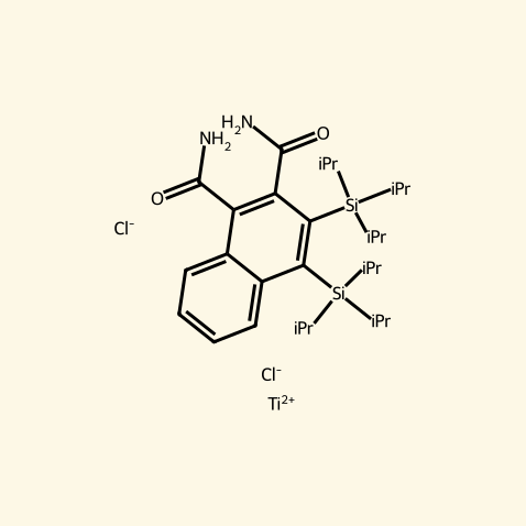 CC(C)[Si](c1c(C(N)=O)c(C(N)=O)c2ccccc2c1[Si](C(C)C)(C(C)C)C(C)C)(C(C)C)C(C)C.[Cl-].[Cl-].[Ti+2]